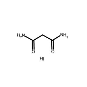 I.NC(=O)CC(N)=O